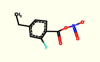 CCc1ccc(C(=O)O[N+](=O)[O-])c(F)c1